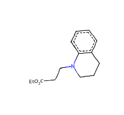 CCOC(=O)CCN1CCCc2ccccc21